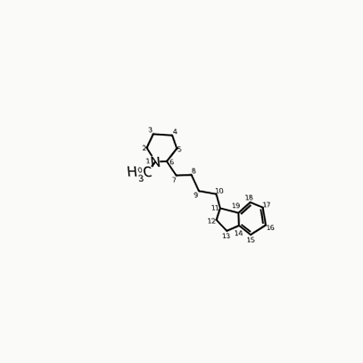 CN1CCCCC1CCCCC1CCc2ccccc21